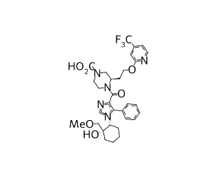 COC[C@]1(O)CCCC[C@H]1n1cnc(C(=O)N2CCN(C(=O)O)C[C@H]2CCOc2cc(C(F)(F)F)ccn2)c1-c1ccccc1